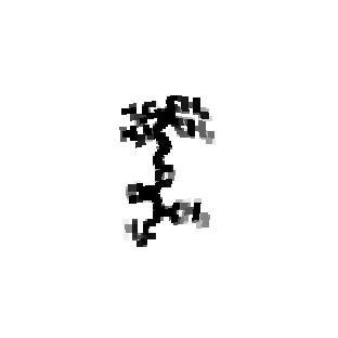 CC(C)C(=O)OCC[SiH2]C(C)(C)C